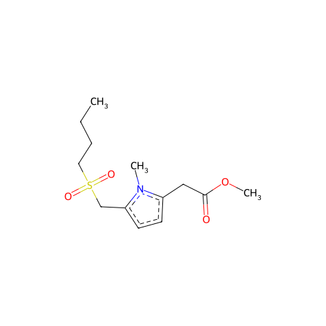 CCCCS(=O)(=O)Cc1ccc(CC(=O)OC)n1C